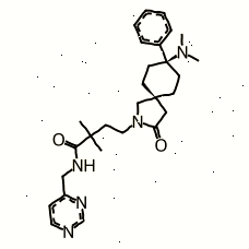 CN(C)[C@]1(c2ccccc2)CC[C@@]2(CC1)CC(=O)N(CCC(C)(C)C(=O)NCc1ccncn1)C2